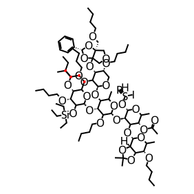 CCCCOCC1O[C@@H](O[C@H]2C(OCCCC)[C@H](O[C@@H]3C(O[C@@H]4OC(C)[C@H](OCCCC)C5OC(C)(C)O[C@@H]54)[C@@H](OC(C)=O)C(C)O[C@H]3O[SH](#P)I)OC(C)[C@@H]2O[C@@H]2OC[C@@H](OCCCC)[C@@H](OC34COC[C@]3(COCCCC)O[C@@H](c3ccccc3)O4)C2OCCCC)C(O[Si](CC)(CC)CC)[C@H](OCCCC)[C@@H]1OCCCC